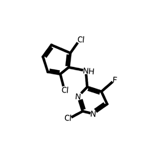 Fc1cnc(Cl)nc1Nc1c(Cl)cccc1Cl